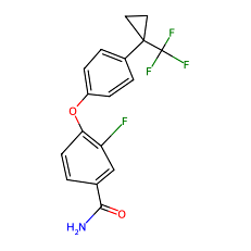 NC(=O)c1ccc(Oc2ccc(C3(C(F)(F)F)CC3)cc2)c(F)c1